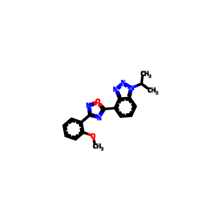 COc1ccccc1-c1noc(-c2cccc3c2nnn3C(C)C)n1